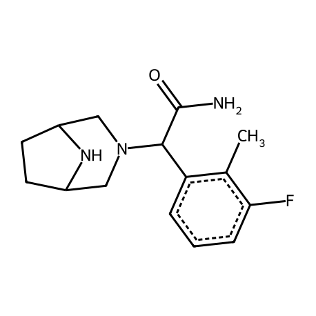 Cc1c(F)cccc1C(C(N)=O)N1CC2CCC(C1)N2